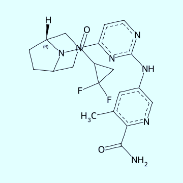 Cc1cc(Nc2nccc(N3CC4CC[C@H](C3)N4C(=O)C3CC3(F)F)n2)cnc1C(N)=O